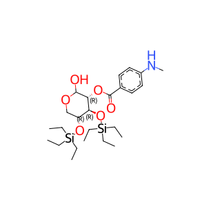 CC[Si](CC)(CC)O[C@H]1[C@H](O[Si](CC)(CC)CC)COC(O)[C@@H]1OC(=O)c1ccc(NC)cc1